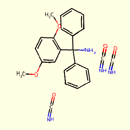 COc1ccc(OC)c(C(N)(c2ccccc2)c2ccccc2)c1.N=C=O.N=C=O.N=C=O